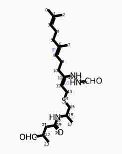 CC(C)=CCC/C(C)=C/CC/C(=C/CSCC(C)NC(=O)CC(C)C=O)NNC=O